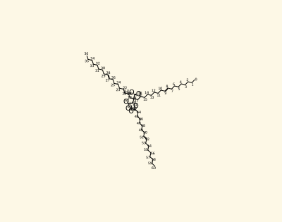 CCCCCCCCC=CCCCCCCCCC(CCCCCCCCC=CCCCCCCCC)(C(=O)O)C(OC(=O)CCCCCCCC=CCCCCCCCC)C(=O)O